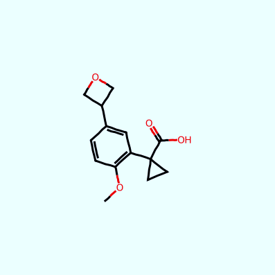 COc1ccc(C2COC2)cc1C1(C(=O)O)CC1